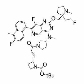 Cc1c(F)ccc2c(-c3ncc4c(N(C)[C@@H]5CCN(C(=O)/C=C/[C@H]6CCN6C(=O)OC(C)(C)C)C5)nc(OC[C@@]56CCCN5C[C@H](F)C6)nc4c3F)cccc12